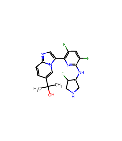 CC(C)(O)c1ccc2ncc(-c3nc(NC4CNCC4F)c(F)cc3F)n2c1